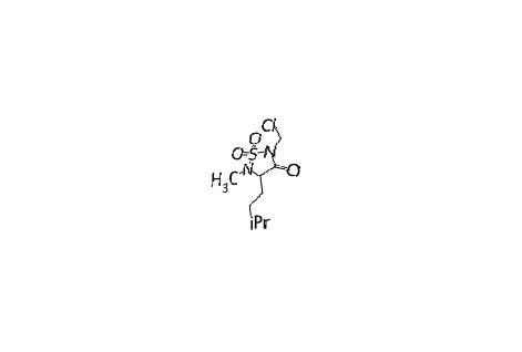 CC(C)CCC1C(=O)N(CCl)S(=O)(=O)N1C